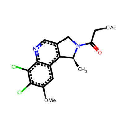 COc1cc2c3c(cnc2c(Cl)c1Cl)CN(C(=O)COC(C)=O)[C@H]3C